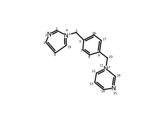 c1cnc[n+](Cc2ccc(C[n+]3cccnc3)cc2)c1